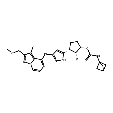 COCc1nn2ccnc(Nc3cc([C@@H]4CC[C@H](OC(=O)NC56CC(C5)C6)[C@@H]4F)[nH]n3)c2c1C